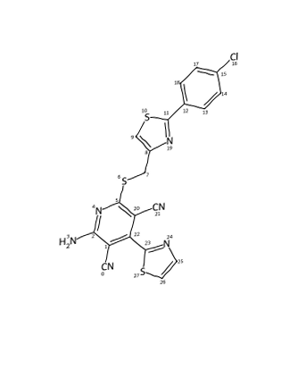 N#Cc1c(N)nc(SCc2csc(-c3ccc(Cl)cc3)n2)c(C#N)c1-c1nccs1